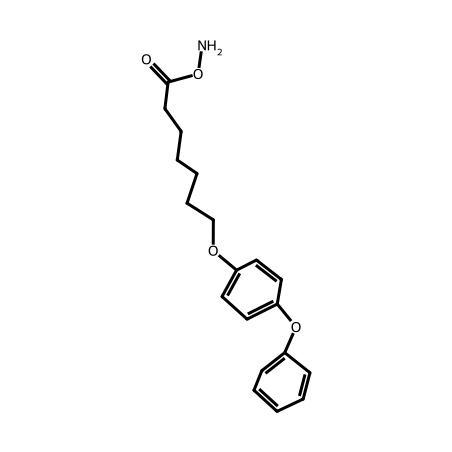 NOC(=O)CCCCCCOc1ccc(Oc2ccccc2)cc1